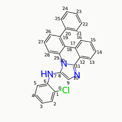 Clc1ccccc1Nc1cnc2c3ccccc3c3c(-c4ccccc4)cccc3n12